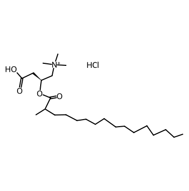 CCCCCCCCCCCCCCC(C)C(=O)O[C@@H](CC(=O)O)C[N+](C)(C)C.Cl